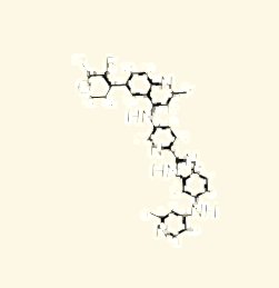 Cc1cc(Nc2ccc3nc(-c4ccc(Nc5cc(C)nc6ccc(C7=C(F)[C@H](C)OCC7)cc56)cn4)[nH]c3c2)ccn1